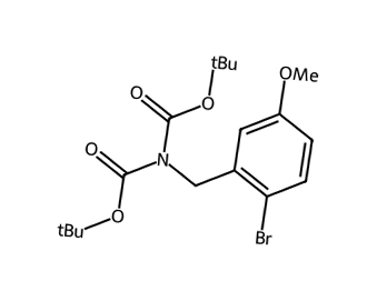 COc1ccc(Br)c(CN(C(=O)OC(C)(C)C)C(=O)OC(C)(C)C)c1